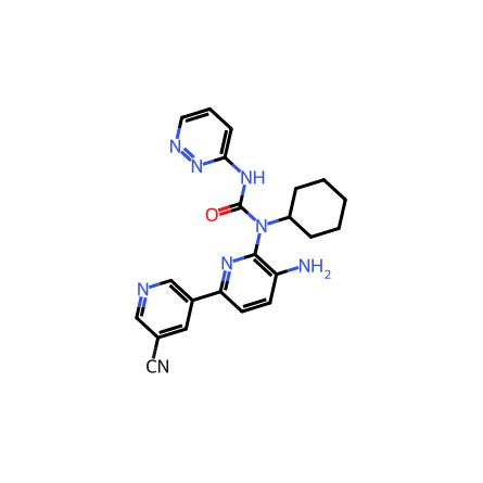 N#Cc1cncc(-c2ccc(N)c(N(C(=O)Nc3cccnn3)C3CCCCC3)n2)c1